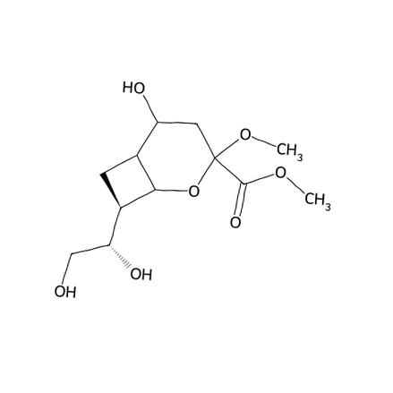 COC(=O)C1(OC)CC(O)C2C[C@H]([C@H](O)CO)C2O1